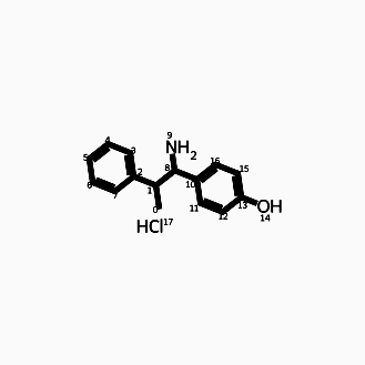 CC(c1ccccc1)C(N)c1ccc(O)cc1.Cl